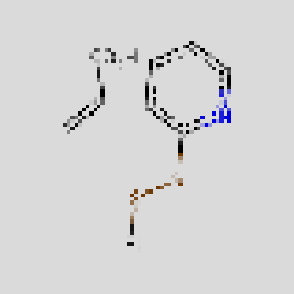 C=CC(=O)O.CCSSc1ccccn1